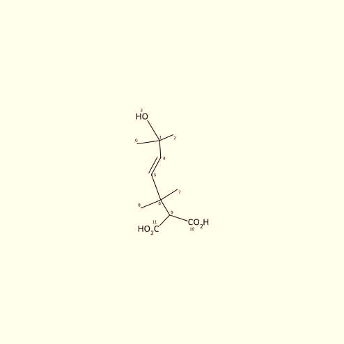 CC(C)(O)/C=C/C(C)(C)C(C(=O)O)C(=O)O